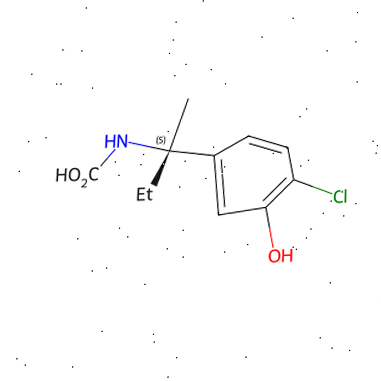 CC[C@](C)(NC(=O)O)c1ccc(Cl)c(O)c1